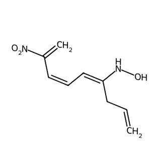 C=CC/C(=C\C=C/C(=C)[N+](=O)[O-])NO